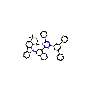 CC1(C)CCC(C)(C)C2C1=CC=C1c3ccccc3N(C3=CC(c4nc(-c5ccccc5)nc(C5C=C(c6ccccc6)C=C(c6ccccc6)C5)n4)=C4C=CCCC4C3)C12